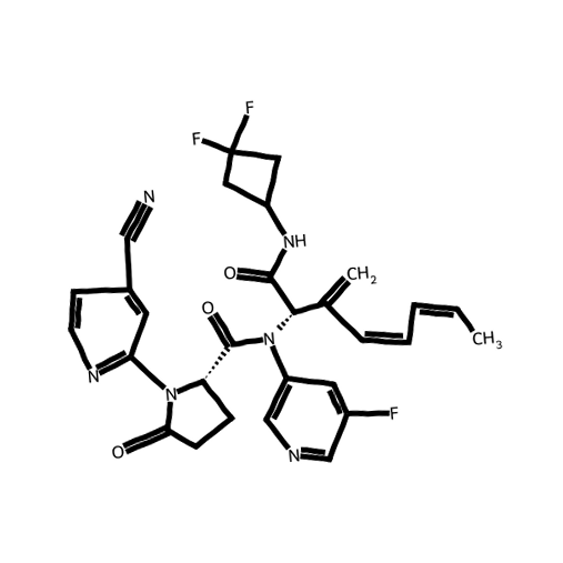 C=C(/C=C\C=C/C)[C@@H](C(=O)NC1CC(F)(F)C1)N(C(=O)[C@@H]1CCC(=O)N1c1cc(C#N)ccn1)c1cncc(F)c1